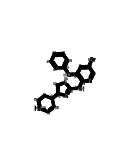 Brc1cnc(NC2=NC(C3CCNCC3)CS2)c(Oc2ccccc2)c1